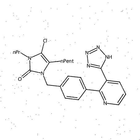 CCCCCc1c(Cl)n(CCC)c(=O)n1Cc1ccc(-c2ncccc2-c2nnn[nH]2)cc1